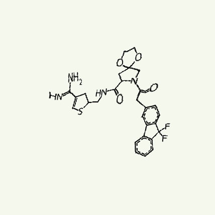 N=C(N)C1=CSC(CNC(=O)C2CC3(CN2C(=O)Cc2ccc4c(c2)-c2ccccc2C4(F)F)OCCO3)C1